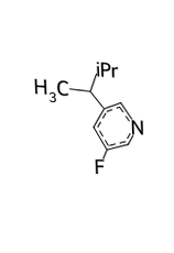 CC(C)C(C)c1cncc(F)c1